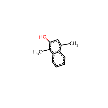 Cc1cc(O)c(C)c2ccccc12